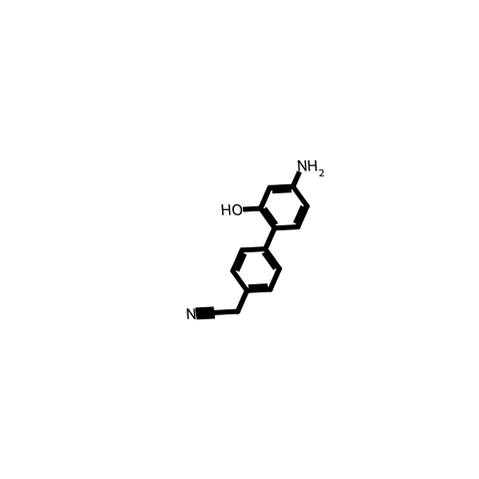 N#CCc1ccc(-c2ccc(N)cc2O)cc1